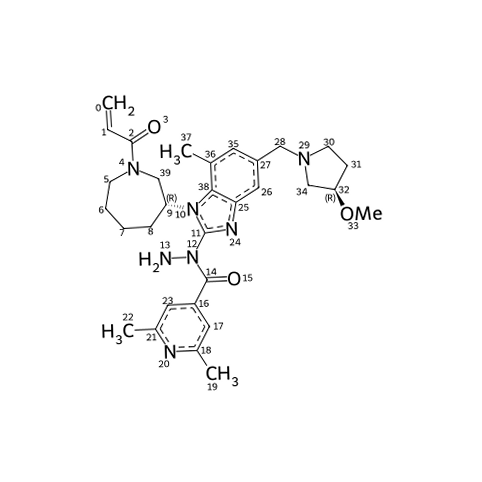 C=CC(=O)N1CCCC[C@@H](n2c(N(N)C(=O)c3cc(C)nc(C)c3)nc3cc(CN4CC[C@@H](OC)C4)cc(C)c32)C1